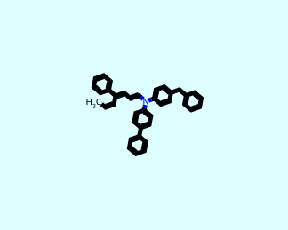 C\C=C/C(=C\C=C\N(c1ccc(Cc2ccccc2)cc1)c1ccc(-c2ccccc2)cc1)c1ccccc1